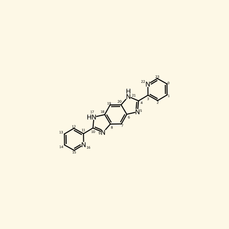 c1ccc(-c2nc3cc4nc(-c5ccccn5)[nH]c4cc3[nH]2)nc1